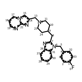 Fc1ccc(Cn2c(CC3CCN(Cc4cn5cccnc5n4)CC3)nc3ccccc32)cc1